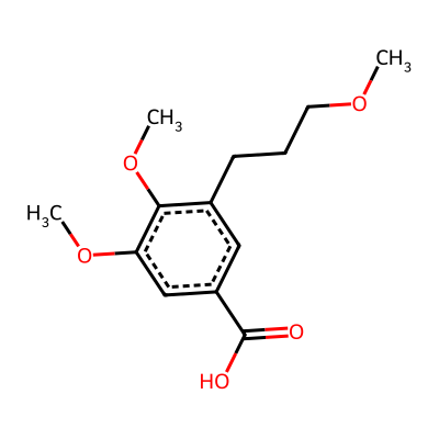 COCCCc1cc(C(=O)O)cc(OC)c1OC